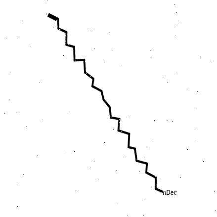 [CH]=CCCCCCCCCCCCCCCCCCCCCCCCCCCCCCCCC[CH2]